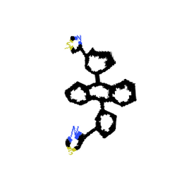 c1cc(-c2cscn2)cc(-c2c3ccccc3c(-c3cccc(-c4cscn4)c3)c3ccccc23)c1